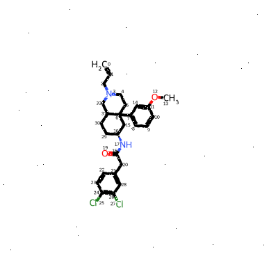 C=CCN1CCC2(c3cccc(OC)c3)C[C@@H](NC(=O)Cc3ccc(Cl)c(Cl)c3)CCC2C1